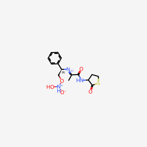 C/C(=N\[C@@H](CO[NH+]([O-])O)c1ccccc1)C(=O)NC1CCSC1=O